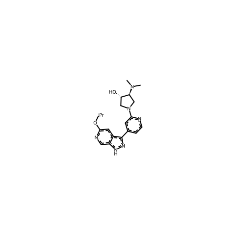 CC(C)Oc1cc2c(-c3ccnc(N4C[C@H](O)[C@@H](N(C)C)C4)c3)n[nH]c2cn1